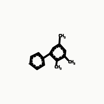 Cc1cc(C)c(C)c(-c2cc[c]cc2)c1